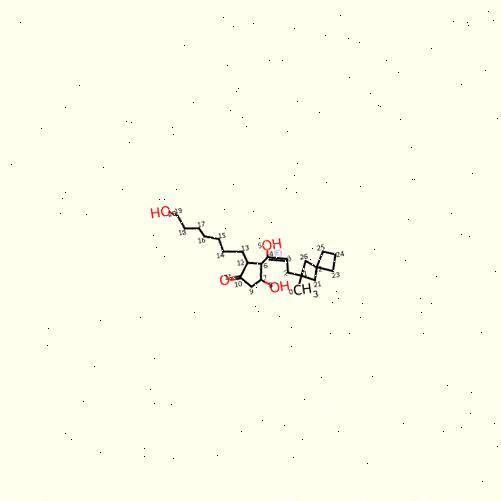 CC1(C/C=C(/O)C2C(O)CC(=O)C2CCCCCCCO)CC2(CCC2)C1